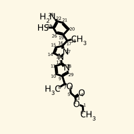 CCOC(=O)COC(C)c1ccc(-n2ccc(C(C)c3ccc(N)c(S)c3)n2)nc1